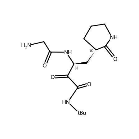 CC(C)(C)NC(=O)C(=O)[C@H](C[C@@H]1CCCNC1=O)NC(=O)CN